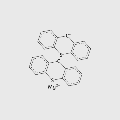 [Mg+2].c1ccc2c(c1)[CH-]c1ccccc1S2.c1ccc2c(c1)[CH-]c1ccccc1S2